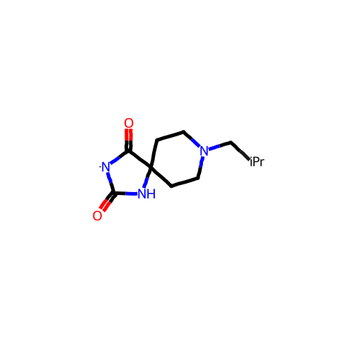 CC(C)CN1CCC2(CC1)NC(=O)[N]C2=O